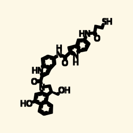 O=C(CCS)Nc1ccc2[nH]c(C(=O)Nc3ccc4[nH]c(C(=O)N5C[C@@H](CO)c6c5cc(O)c5ccccc65)cc4c3)cc2c1